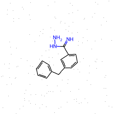 N=C(NN)c1cccc(Cc2ccccc2)c1